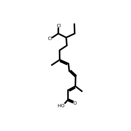 CCC(CCC(C)=CC=CC(C)=CC(=O)O)C(Cl)Cl